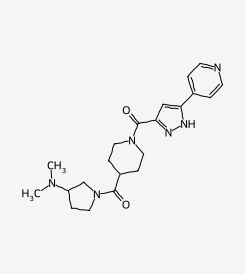 CN(C)C1CCN(C(=O)C2CCN(C(=O)c3cc(-c4ccncc4)[nH]n3)CC2)C1